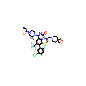 C=CC(=O)N1CCN(c2nc(=O)n3c4c(c(-c5cc(Cl)c(F)cc5F)c(C(F)(F)F)cc24)SC[C@@H]3CN2CCC3(CC2)COC3)[C@@H](C)C1